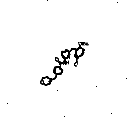 CC(C)COc1ccc(Cl)cc1Cc1cccc(NC(=O)c2ccc(CN3CCOCC3)cc2)n1